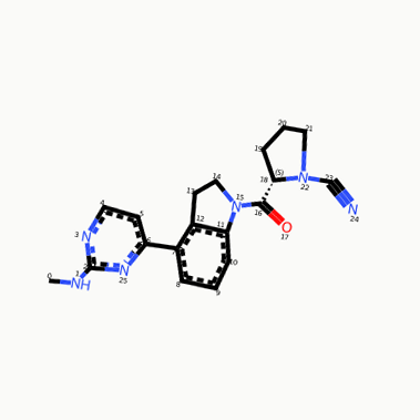 CNc1nccc(-c2cccc3c2CCN3C(=O)[C@@H]2CCCN2C#N)n1